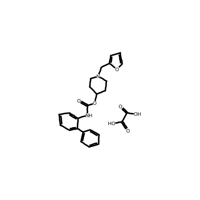 O=C(Nc1ccccc1-c1ccccc1)OC1CCN(Cc2ccco2)CC1.O=C(O)C(=O)O